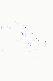 Cc1ccc(Cl)c2c(=O)n(-c3ccccc3)c(C(C)Nc3ncnc(N)c3C#Cc3ccc(F)cn3)nc12